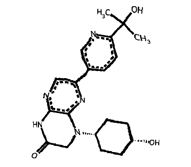 CC(C)(O)c1ccc(-c2cnc3c(n2)N([C@H]2CC[C@@H](O)CC2)CC(=O)N3)cn1